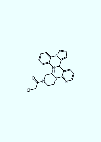 O=C(CCl)N1CCN(c2ncccc2C2Nc3ccccc3-n3cccc32)CC1